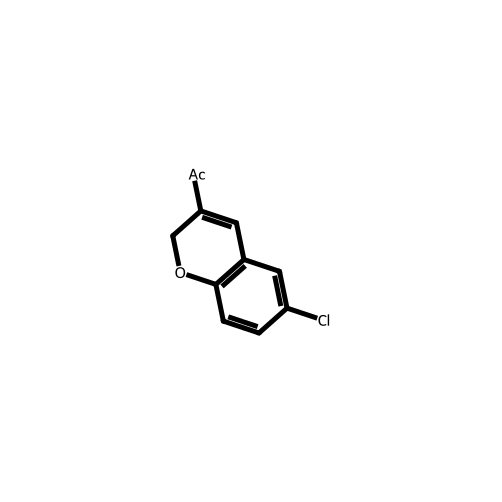 CC(=O)C1=Cc2cc(Cl)ccc2OC1